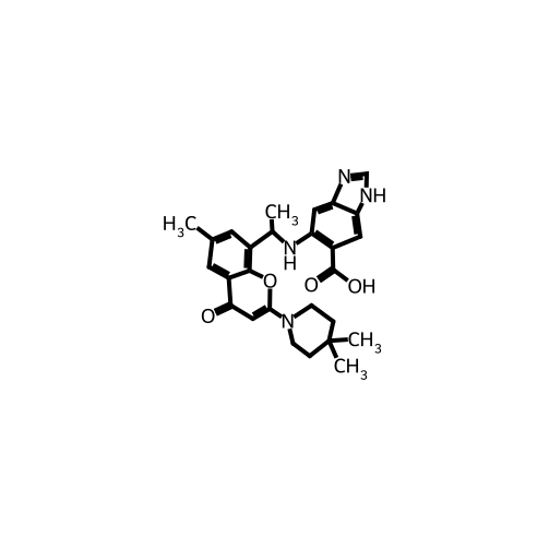 Cc1cc(C(C)Nc2cc3nc[nH]c3cc2C(=O)O)c2oc(N3CCC(C)(C)CC3)cc(=O)c2c1